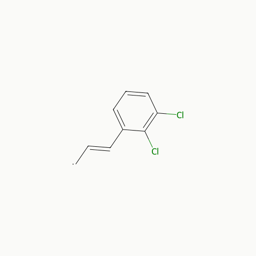 [CH2]C=Cc1cccc(Cl)c1Cl